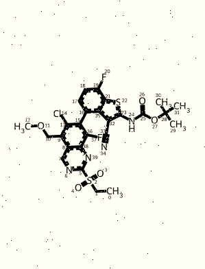 CCS(=O)(=O)c1ncc2c(COC)c(Cl)c(-c3ccc(F)c4sc(NC(=O)OC(C)(C)C)c(C#N)c34)c(F)c2n1